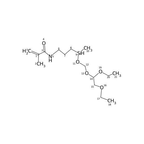 C=C(C)C(=O)NCCC[SiH](C)OCOC(COCC)OCC